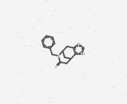 O=C1CC2CC(Cc3nc[nH]c32)N1Cc1ccccc1